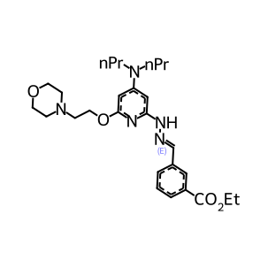 CCCN(CCC)c1cc(N/N=C/c2cccc(C(=O)OCC)c2)nc(OCCN2CCOCC2)c1